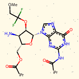 COCC(F)(F)O[C@@H]1[C@H](N)[C@@H](COC(=O)C(C)C)O[C@H]1n1cnc2c(=O)[nH]c(NC(=O)C(C)C)nc21